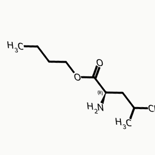 CCCCOC(=O)[C@H](N)CC(C)C